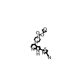 N#Cc1csc(-c2cc3c(N4CCN(C(=O)OC5COC5)CC4)ccnc3[nH]2)n1